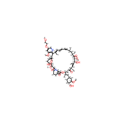 COCCOc1cnc(C2C[C@@H]3CC[C@@H](C)[C@@](O)(O3)C(=O)C(=O)N3CCCC[C@H]3C(=O)O[C@H]([C@H](C)C[C@@H]3CC[C@@H](O)[C@H](OC)C3)CC(=O)[C@H](C)/C=C(\C)[C@@H](O)[C@@H](OC)C(=O)[C@H](C)C[C@H](C)/C=C/C=C/C=C/2C)c(OC)c1